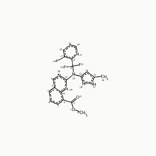 COC(=O)c1cccc2cnc(N(c3cc(C)[nH]n3)C(F)(F)c3ncccc3F)nc12